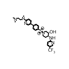 CN(C)CCN(C)c1ccc(-c2ccc(S(=O)(=O)N3CC[C@@H](Nc4ccc(C(F)(F)F)cn4)[C@@H](O)C3)cc2)cn1